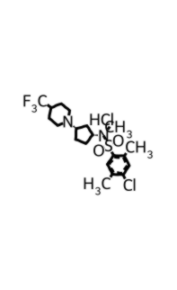 Cc1cc(S(=O)(=O)N(C)[C@@H]2CC[C@H](N3CCC(C(F)(F)F)CC3)C2)c(C)cc1Cl.Cl